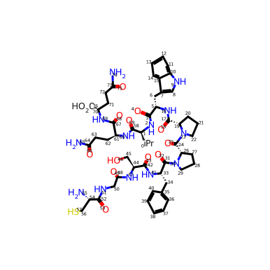 CC(C)[C@H](NC(=O)[C@H](Cc1c[nH]c2ccccc12)NC(=O)[C@@H]1CCCN1C(=O)[C@@H]1CCCN1C(=O)[C@H](Cc1ccccc1)NC(=O)[C@H](CO)NC(=O)CNC(=O)[C@@H](N)CS)C(=O)N[C@@H](CCC(N)=O)C(=O)N[C@@H](CCC(N)=O)C(=O)O